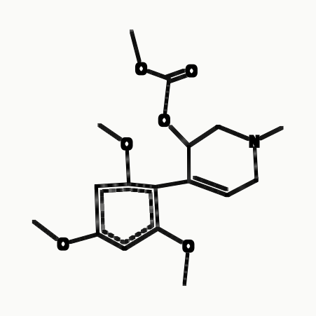 COC(=O)OC1CN(C)CC=C1c1c(OC)cc(OC)cc1OC